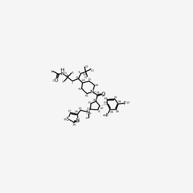 CC(=O)NC(C)(C)CC(CC(C)(C)C)C1CCN(C(=O)[C@@H]2CC(N(C)Cc3cscn3)C[C@H]2c2ccc(F)cc2F)CC1